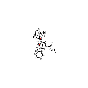 NC(=O)c1cccc([C@H]2C[C@H]3CC[C@@H](C2)N3CCNCc2ccccc2)c1